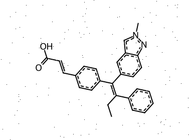 CCC(=C(c1ccc(C=CC(=O)O)cc1)c1ccc2nn(C)cc2c1)c1ccccc1